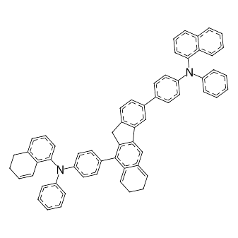 C1=Cc2c(cccc2N(c2ccccc2)c2ccc(-c3c4c(cc5c3=CCCC=5)-c3cc(-c5ccc(N(c6ccccc6)c6cccc7ccccc67)cc5)ccc3C4)cc2)CC1